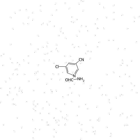 N#Cc1cncc(Cl)c1.NC=O